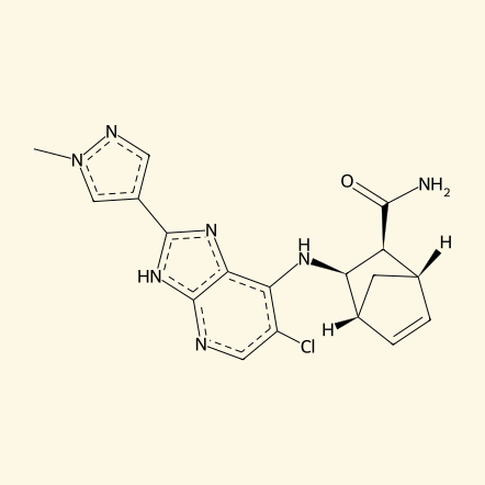 Cn1cc(-c2nc3c(N[C@H]4[C@@H](C(N)=O)[C@@H]5C=C[C@H]4C5)c(Cl)cnc3[nH]2)cn1